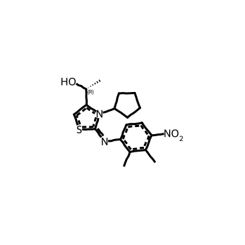 Cc1c(N=c2scc([C@@H](C)O)n2C2CCCC2)ccc([N+](=O)[O-])c1C